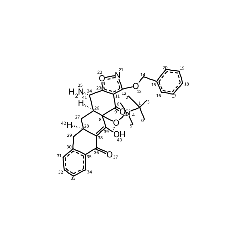 CC(C)(C)[Si](C)(C)OC12C(=O)c3c(OCc4ccccc4)noc3[C@@H](N)[C@@H]1C[C@@H]1Cc3ccccc3C(=O)C1=C2O